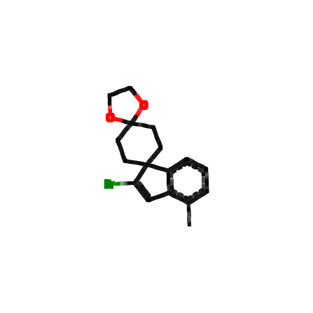 Cc1cccc2c1C=C(Br)C21CCC2(CC1)OCCO2